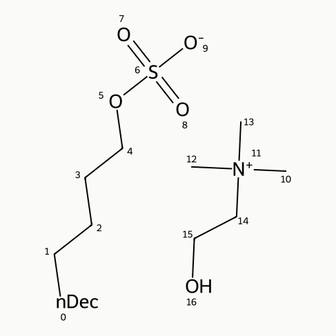 CCCCCCCCCCCCCCOS(=O)(=O)[O-].C[N+](C)(C)CCO